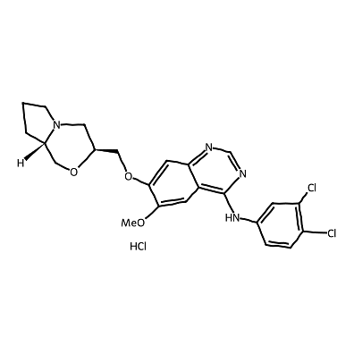 COc1cc2c(Nc3ccc(Cl)c(Cl)c3)ncnc2cc1OC[C@@H]1CN2CCC[C@H]2CO1.Cl